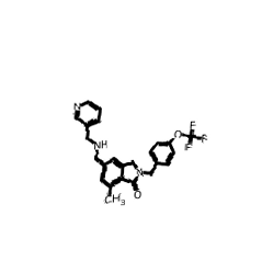 Cc1cc(CNCc2cccnc2)cc2c1C(=O)N(Cc1ccc(OC(F)(F)F)cc1)C2